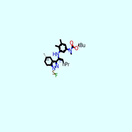 CCC/C=C(/Nc1cc(N(C)C(=O)OC(C)(C)C)cc(C)c1C)c1nn(SF)c2c1C[C@@H](C)CC2